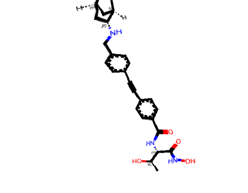 C[C@@H](O)[C@H](NC(=O)c1ccc(C#Cc2ccc(CN[C@@H]3C[C@H]4CC[C@@H]3C4)cc2)cc1)C(=O)NO